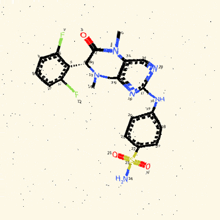 CN1C(=O)[C@@H](c2c(F)cccc2F)N(C)c2nc(Nc3ccc(S(N)(=O)=O)cc3)ncc21